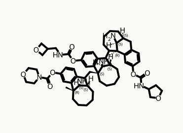 C[C@]12c3cc(OC(=O)NC4CCOC4)ccc3C[C@H](CCCCC1C1c3ccc(OC(=O)NCC4COC4)cc3[C@@]3(CC4c5ccc(OC(=O)N6CCOCC6)cc5[C@@]5(C)CCCCC[C@@H]4[C@@H]5N)CCCCC[C@@H]1[C@@H]3N)[C@@H]2N